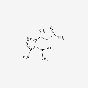 CC(CC(N)=O)n1ncc(N)c1N(C)C